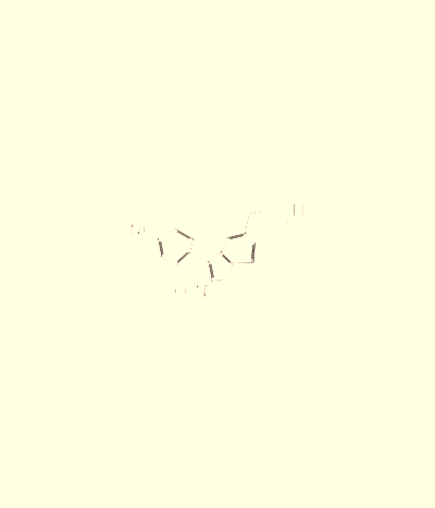 N#Cc1ccc(-c2c([N+](=O)[O-])oc3ccc(CC(=O)O)cc23)cc1